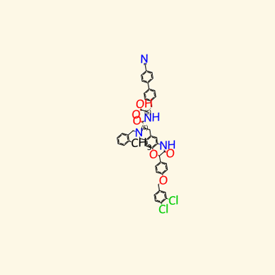 Cc1ccccc1CN1Cc2cc3c(cc2C[C@H]1C(=O)N[C@@H](Cc1ccc(-c2ccc(C#N)cc2)cc1)C(=O)O)NC(=O)C(c1ccc(OCc2ccc(Cl)c(Cl)c2)cc1)O3